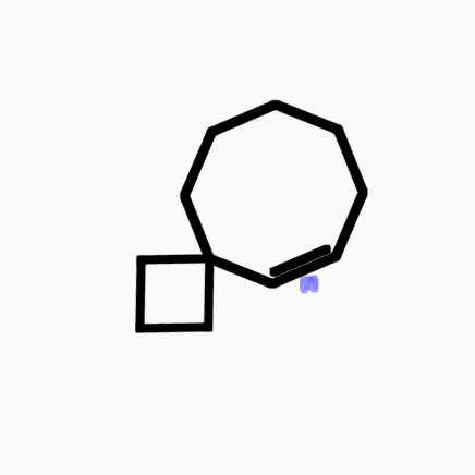 C1=C\C2(CCCCC/1)CCC2